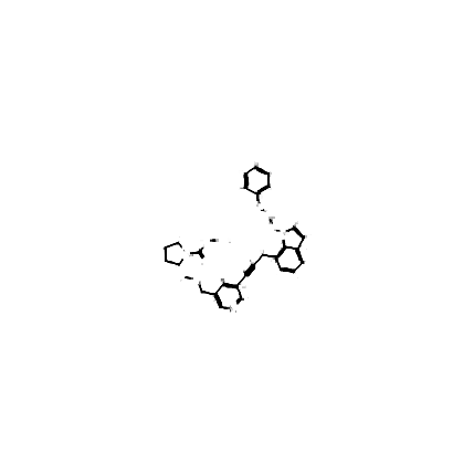 CC(C)(C)OC(=O)N1CCC[C@H]1COCc1cncc(C#CCc2cccc3ccn(OOSc4ccccc4)c23)c1